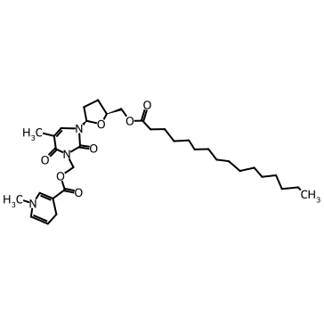 CCCCCCCCCCCCCCCC(=O)OC[C@@H]1CC[C@H](n2cc(C)c(=O)n(COC(=O)C3=CN(C)C=CC3)c2=O)O1